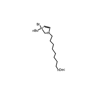 CCCCCCCCCCCCCCCCCCN1C=C[N+](Br)(CCCC)C1